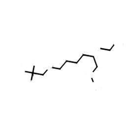 CCC[C@@H](CCCCNCC(C)(C)C)COC